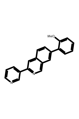 COc1ccccc1-c1ccc2cc(-c3cccnc3)ncc2c1